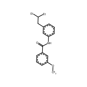 CCC(CC)Cc1cccc(NC(=O)c2cccc(OC(F)(F)F)c2)c1